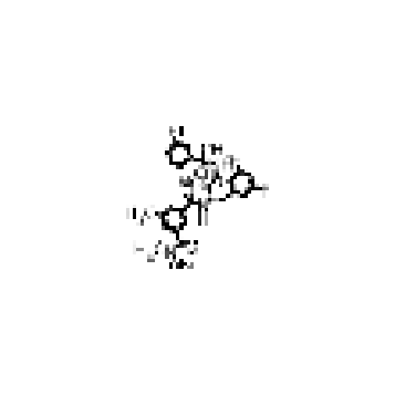 CCCCN(C)C(=O)c1cc(C)cc(C(=O)N[C@@H](Cc2cc(F)cc(F)c2)[C@H](O)CNC(C)(C)c2cccc(CC)c2)c1